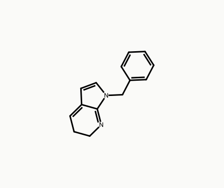 C1=c2ccn(Cc3ccccc3)c2=NCC1